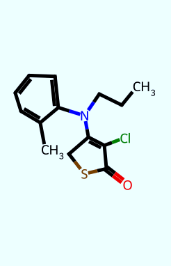 CCCN(C1=C(Cl)C(=O)SC1)c1ccccc1C